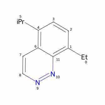 CCc1ccc(C(C)C)c2ccnnc12